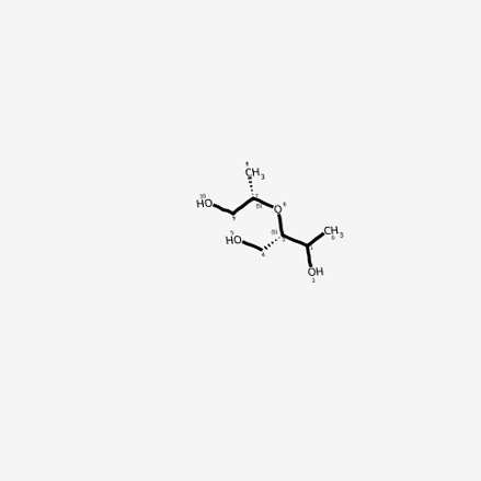 CC(O)[C@H](CO)O[C@@H](C)CO